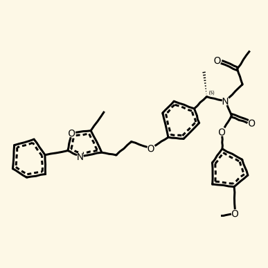 COc1ccc(OC(=O)N(CC(C)=O)[C@@H](C)c2ccc(OCCc3nc(-c4ccccc4)oc3C)cc2)cc1